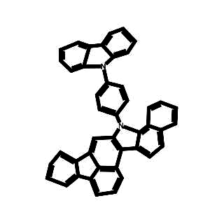 c1ccc2c(c1)-c1cccc3c1c-2cc1c3c2ccc3ccccc3c2n1-c1ccc(-n2c3ccccc3c3ccccc32)cc1